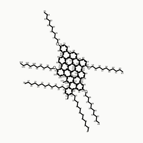 CCCCCCCCCCCCc1c(C)cc(CCCCCCCCCCCC)c2c1c1cc(OCCCCCCCCCC)cc3c4ccc5c6c(OCCCCCCCCCC)ccc7c8ccc9c%10ccc(OCCCCCCCCCC)cc%10c%10ccc%11c%12c(OCCCCCCCCCC)ccc%13c%14c(C)c2c(c31)c1c4c5c2c(c76)c3c8c9c%10c%11c3c(c%13%12)c2c%141